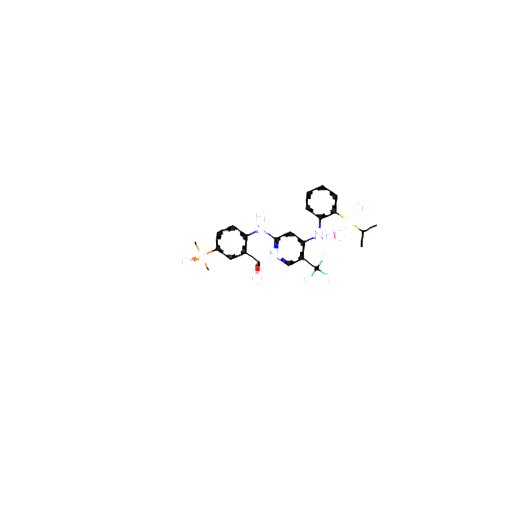 CC(C)S(=O)(=O)c1ccccc1Nc1cc(Nc2ccc(P(C)(C)=O)cc2C=O)ncc1C(F)(F)F